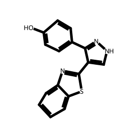 Oc1ccc(-c2n[nH]cc2-c2nc3ccccc3s2)cc1